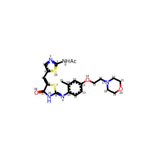 CC(=O)Nc1ncc(C=C2SC(=Nc3ccc(OCCN4CCOCC4)cc3C)NC2=O)s1